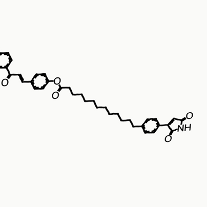 O=C1C=C(c2ccc(CCCCCCCCCCCCC(=O)Oc3ccc(C=CC(=O)c4ccc(F)cc4)cc3)cc2)C(=O)N1